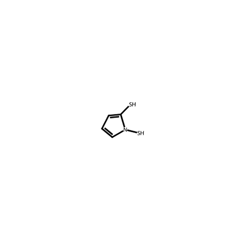 Sc1cccn1S